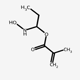 C=C(C)C(=O)OC(CC)NO